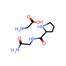 NC(=O)CNC(=O)C1CCCN1.NCC(=O)O